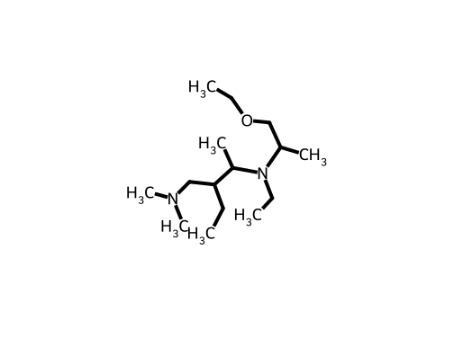 CCOCC(C)N(CC)C(C)C(CC)CN(C)C